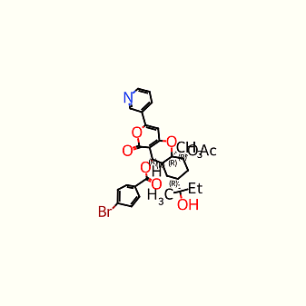 CCC(C)(O)[C@@H]1C[C@@H]2[C@@H](OC(=O)c3ccc(Br)cc3)c3c(cc(-c4cccnc4)oc3=O)O[C@@]2(C)[C@H](OC(C)=O)C1